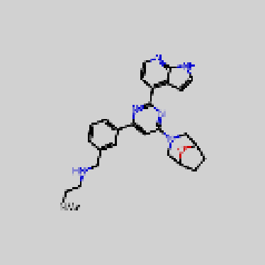 CNCCNCc1cccc(-c2cc(N3CC4CCC(C3)O4)nc(-c3ccnc4[nH]ccc34)n2)c1